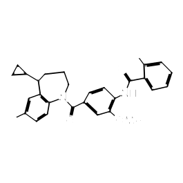 COc1cc(C(=O)N2CCCC(C3CC3)c3cc(F)ccc32)ccc1NC(=O)c1ccccc1C